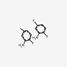 Cc1ccc(F)c(N)c1.Nc1cc(F)ccc1F